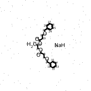 [CH2]C(COC(=O)CCOCc1ccccc1)OC(=O)CCOCc1ccccc1.[NaH]